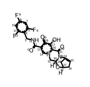 O=C(NCc1c(F)cc(F)cc1F)c1cn2c(c(O)c1=O)C(=O)N1C3=CC[C@H](C3)O[C@@H]1C2